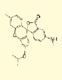 CNc1ccc2c(c1)C(=O)OC21c2ccc(C)cc2Oc2cc(OC(C)C)ccc21